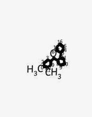 Cc1ccc(C(=O)c2ccccc2-c2ccccc2)cc1C